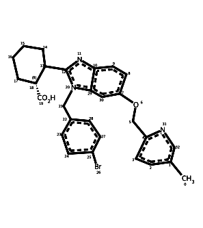 Cc1ccc(COc2ccc3nc(C4CCCC[C@H]4C(=O)O)n(Cc4ccc(Br)cc4)c3c2)nc1